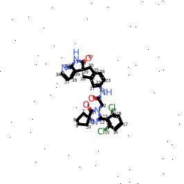 O=C(CN1C(=O)C2(CCCC2)N=C1c1c(Cl)cccc1Cl)Nc1ccc2c(c1)C[C@@]1(C2)C(=O)Nc2ncccc21